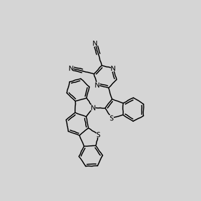 N#Cc1ncc(-c2c(-n3c4ccccc4c4ccc5c6ccccc6sc5c43)sc3ccccc23)nc1C#N